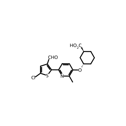 Cc1nc(-c2sc(Cl)cc2C=O)ccc1O[C@H]1CCC[C@H](C(=O)O)C1